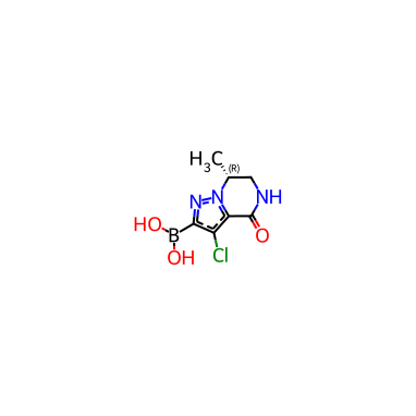 C[C@@H]1CNC(=O)c2c(Cl)c(B(O)O)nn21